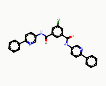 O=C(Nc1ccc(-c2ccccc2)nc1)c1cc(Cl)cc(C(=O)Nc2ccc(-c3ccccc3)nc2)c1